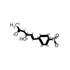 CC(=O)C[C@H](O)C=Cc1ccc([N+](=O)[O-])cc1